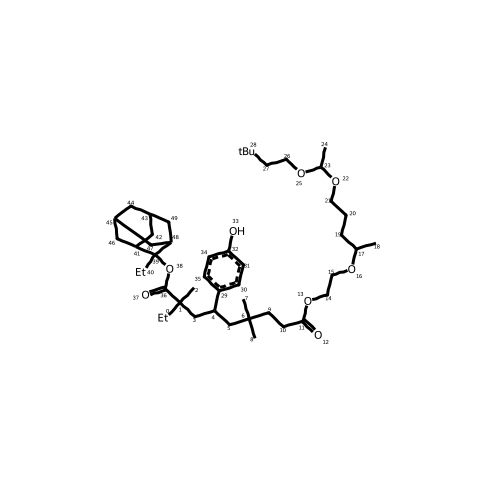 CCC(C)(CC(CC(C)(C)CCC(=O)OCCOC(C)CCCOC(C)OCCC(C)(C)C)c1ccc(O)cc1)C(=O)OC1(CC)C2CC3CC(C2)CC1C3